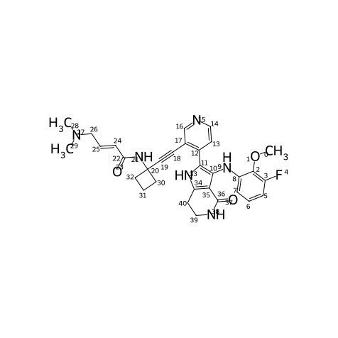 COc1c(F)cccc1Nc1c(-c2ccncc2C#CC2(NC(=O)/C=C/CN(C)C)CCC2)[nH]c2c1C(=O)NCC2